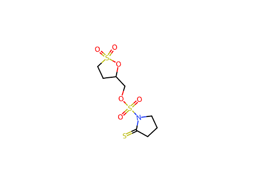 O=S1(=O)CCC(COS(=O)(=O)N2CCCC2=S)O1